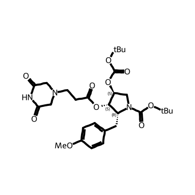 COc1ccc(C[C@@H]2[C@H](OC(=O)CCN3CC(=O)NC(=O)C3)[C@@H](OC(=O)OC(C)(C)C)CN2C(=O)OC(C)(C)C)cc1